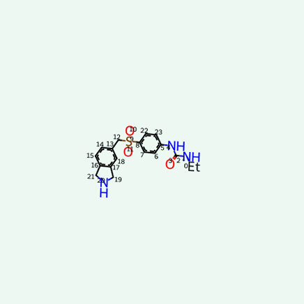 CCNC(=O)Nc1ccc(S(=O)(=O)Cc2ccc3c(c2)CNC3)cc1